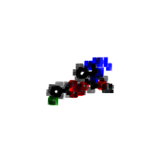 CCOCc1nc2c(N)nc3ccccc3c2n1C1(COCP2(=O)OCC(c3cccc(Cl)c3)CO2)CC1